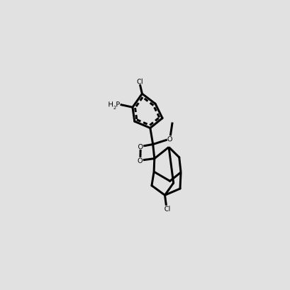 COC1(c2ccc(Cl)c(P)c2)OOC12C1CC3CC2CC(Cl)(C3)C1